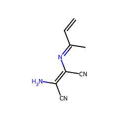 C=C/C(C)=N/C(C#N)=C(\N)C#N